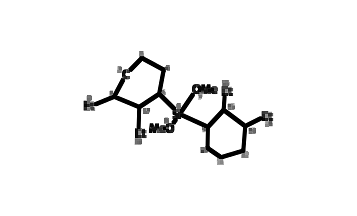 CCC1CCCC([Si](OC)(OC)C2CCCC(CC)C2CC)C1CC